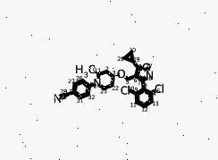 C[C@H]1C[C@H](OCc2c(-c3c(Cl)cccc3Cl)noc2C2CC2)CCN1c1ccc(C#N)cc1